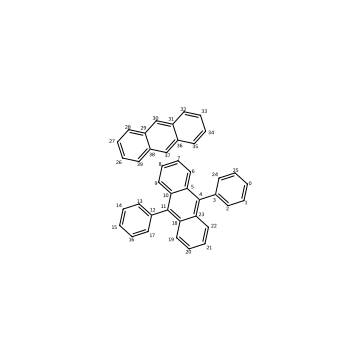 c1ccc(-c2c3ccccc3c(-c3ccccc3)c3ccccc23)cc1.c1ccc2cc3ccccc3cc2c1